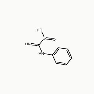 N=C(Nc1ccccc1)S(=O)O